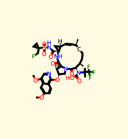 COc1ccc2c(O[C@@H]3C[C@H]4C(=O)N[C@]5(C(=O)NS(=O)(=O)C6(CF)CC6)C[C@H]5C=C[C@@H](C)CCC[C@@H](C)[C@H](N(C(=O)O)C(C)(C)C(F)(F)F)C(=O)N4C3)ncc(OC)c2c1